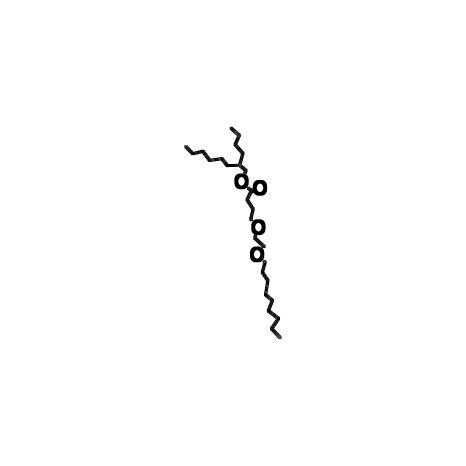 CCCCCCCCCOCCOCCCC(=O)OCC(CCCC)CCCCCC